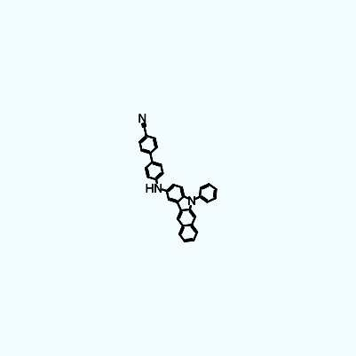 N#Cc1ccc(-c2ccc(Nc3ccc4c(c3)c3cc5ccccc5cc3n4-c3ccccc3)cc2)cc1